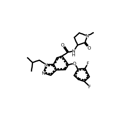 CC(C)Cn1ncc2cc(Oc3ccc(F)cc3F)c(C(=O)NC3CCN(C)C3=O)cc21